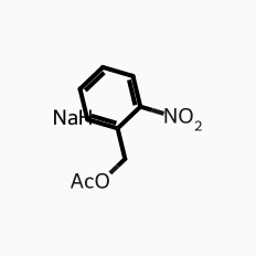 CC(=O)OCc1ccccc1[N+](=O)[O-].[NaH]